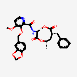 COc1ccnc(C(=O)NC2COC(=O)[C@H](Cc3ccccc3)C[C@H](C)OC2=O)c1OCc1ccc2c(c1)OCO2